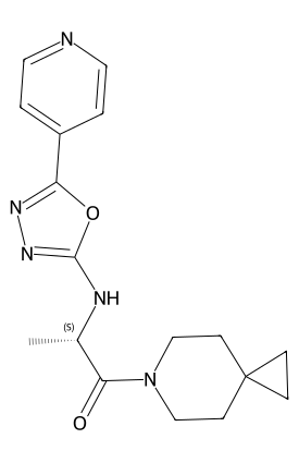 C[C@H](Nc1nnc(-c2ccncc2)o1)C(=O)N1CCC2(CC1)CC2